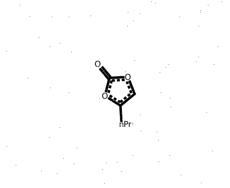 CC[CH]c1coc(=O)o1